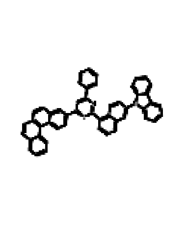 c1ccc(-c2nc(-c3ccc4c(ccc5ccc6ccccc6c54)c3)nc(-c3cccc4cc(-n5c6ccccc6c6ccccc65)ccc34)n2)cc1